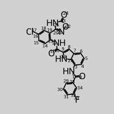 O=C(Nc1cccc2cc(C(=O)Nc3ccc(Cl)cc3-c3noc(=O)[nH]3)[nH]c12)c1cccc(F)c1